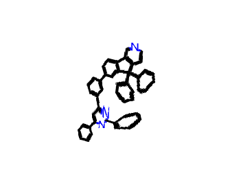 C1=CCC(C2(c3ccccc3)c3ccncc3-c3ccc(-c4cccc(-c5cc(-c6ccccc6)nc(-c6ccccc6)n5)c4)cc32)C=C1